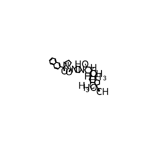 C#C[C@]1(O)CC[C@H]2[C@@H]3CC[C@H]4C[C@H](O)[C@@H](N5CCN(C(=O)[C@@H]6CCCN6C(=O)c6ccc7ccccc7c6)CC5)C[C@]4(C)[C@H]3CC[C@@]21C